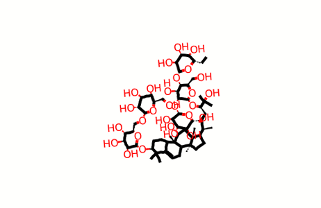 CC[C@@H]1O[C@H](O[C@H]2[C@H](O)[C@@H](O[C@@H]3O[C@H](CO)[C@@H](O)[C@H](O)[C@H]3O)[C@H](O[C@H](CC[C@@H](C)C3CC[C@@]4(C)C5CC=C6C(CC[C@H](O[C@@H]7O[C@H](CO[C@@H]8O[C@H](CO)[C@@H](O)[C@H](O)[C@H]8O)[C@@H](O)[C@H](O)[C@H]7O)C6(C)C)[C@]5(C)[C@H](O)C[C@]34C)C(C)(C)O)O[C@@H]2CO)[C@@H](O)[C@H](O)[C@H]1O